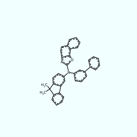 CC1(C)c2ccccc2-c2cc(N(c3cccc(-c4ccccc4)c3)c3nc4ccc5ccccc5c4o3)ccc21